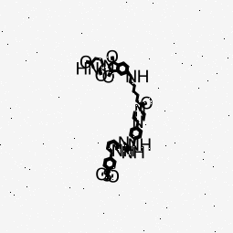 CS(=O)(=O)c1ccc(-c2ccc/c(=N/C(=N)Nc3ccc(N4CCN(C(=O)CCCCCNc5ccc6c(c5)C(=O)N(C5CCC(=O)NC5=O)C6=O)CC4)cc3)[nH]2)cc1